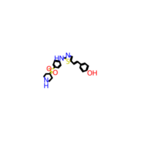 O=S(=O)(c1ccc(Nc2ncc(/C=C/c3ccc(O)cc3)s2)cc1)C1CCNCC1